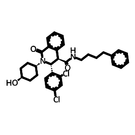 O=C(NCCCCc1ccccc1)[C@@H]1c2ccccc2C(=O)N([C@H]2CC[C@H](O)CC2)[C@H]1c1ccc(Cl)cc1Cl